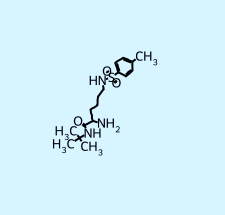 Cc1ccc(S(=O)(=O)NCCCCC(N)C(=O)NC(C)(C)C)cc1